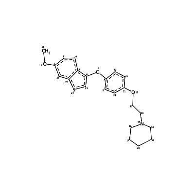 COc1ccc2c(Oc3ccc(OCCN4CCCCC4)cc3)csc2c1